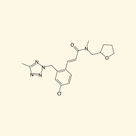 Cc1nnn(Cc2cc(Cl)ccc2C=CC(=O)N(C)CC2CCCO2)n1